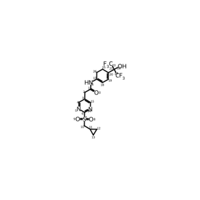 O=C(Cc1cnc(S(=O)(=O)CC2CC2)nc1)NC1=CC=C(C(O)(C(F)(F)F)C(F)(F)F)CC1